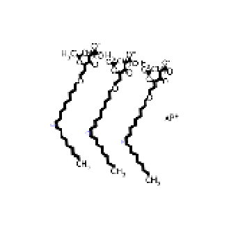 CCCCCCCC/C=C\CCCCCCCCOCCC(OC(C)C)C(=O)CC(=O)[O-].CCCCCCCC/C=C\CCCCCCCCOCCC(OC(C)C)C(=O)CC(=O)[O-].CCCCCCCC/C=C\CCCCCCCCOCCC(OC(C)C)C(=O)CC(=O)[O-].[Al+3]